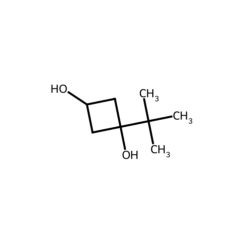 CC(C)(C)C1(O)CC(O)C1